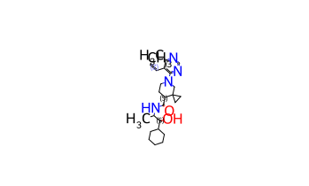 C/C=C\c1c(C)ncnc1N1CC[C@H](C(=O)NC(C)[C@@H](O)C2CCCCC2)C2(CC2)C1